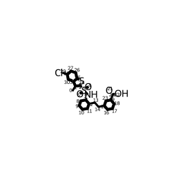 Cc1c(S(=O)(=O)Nc2ccccc2CCc2cccc(C(=O)O)c2)sc2ccc(Cl)cc12